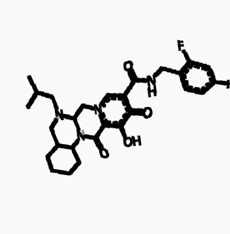 CC(C)CN1CC2CCCCC2N2C(=O)c3c(O)c(=O)c(C(=O)NCc4ccc(F)cc4F)cn3CC12